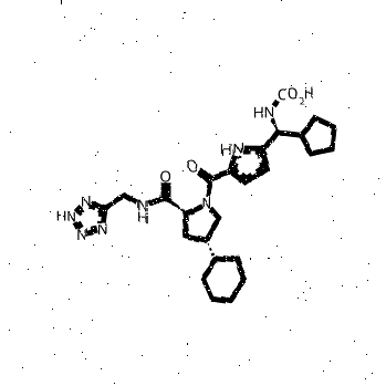 O=C(O)N[C@H](c1ccc(C(=O)N2C[C@H](C3CCCCC3)C[C@H]2C(=O)NCc2nn[nH]n2)[nH]1)C1CCCC1